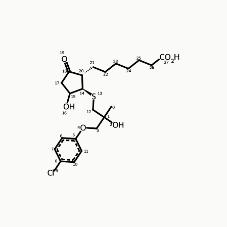 CC(O)(COc1ccc(Cl)cc1)CS[C@H]1C(O)CC(=O)[C@@H]1CCCCCCC(=O)O